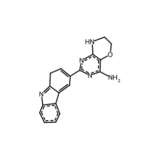 Nc1nc(C2=CCC3=Nc4ccccc4C3=C2)nc2c1OCCN2